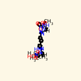 COC(=O)N[C@H](C(=O)N1[C@@H]2C[C@@H]2C[C@H]1c1nc(-c2ccc3cc(-c4ccc5[nH]c([C@@H]6C[C@H]7C[C@H]7N6C(=O)[C@H](C(C)C)N(C)C(=O)O)nc5c4)ccc3c2)c[nH]1)C1CCOCC1